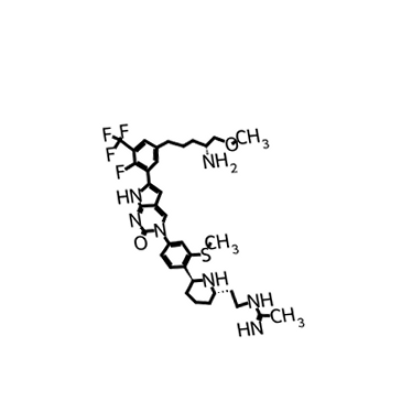 COC[C@H](N)CCCc1cc(-c2cc3cn(-c4ccc([C@@H]5CCC[C@@H](CCNC(C)=N)N5)c(SC)c4)c(=O)nc3[nH]2)c(F)c(C(F)(F)F)c1